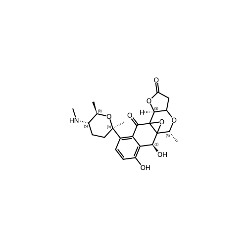 CN[C@H]1CC[C@](C)(c2ccc(O)c3c2C(=O)C24OC2([C@@H](C)OC2CC(=O)O[C@@H]24)[C@H]3O)O[C@@H]1C